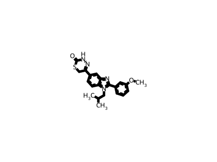 COc1cccc(-c2nc3cc(C4=NNC(=O)SC4)ccc3n2CC(C)C)c1